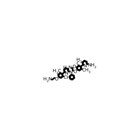 Cc1cc(OC(C(N)=O)N(c2ccccc2)c2cccc(-c3c(C)cc(OCCN)cc3C)n2)cc(C)c1-c1cccc(N)n1